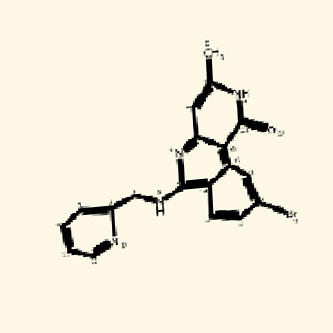 Cc1cc2nc(NCc3ccccn3)c3ccc(Br)cc3c2c(=O)[nH]1